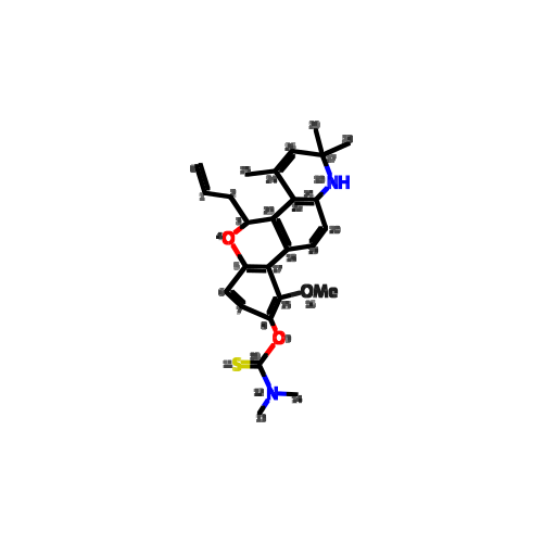 C=CCC1Oc2ccc(OC(=S)N(C)C)c(OC)c2-c2ccc3c(c21)C(C)=CC(C)(C)N3